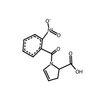 O=C(O)C1CC=CN1C(=O)c1ccccc1[N+](=O)[O-]